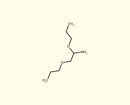 CCCOCC(N)OCCC